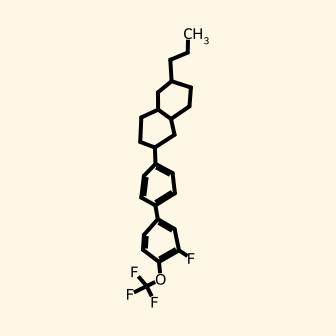 CCCC1CCC2CC(c3ccc(-c4ccc(OC(F)(F)F)c(F)c4)cc3)CCC2C1